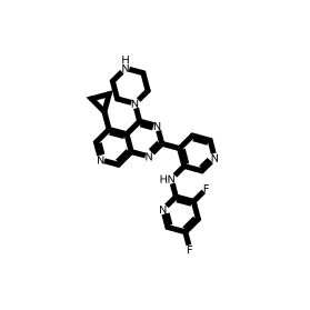 Fc1cnc(Nc2cnccc2-c2nc(N3CCNCC3)c3c(C4CC4)cncc3n2)c(F)c1